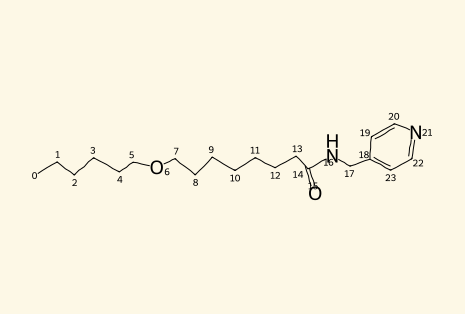 CCCCCCOCCCCCCCC(=O)NCc1ccncc1